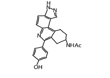 CC(=O)NC1CCc2c(c(-c3ccc(O)cc3)nc3ccc4[nH]ncc4c23)C1